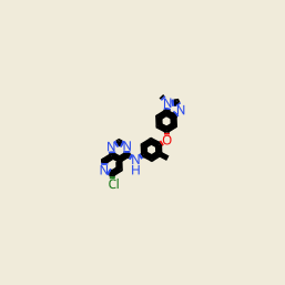 Cc1cc(Nc2ncnc3cnc(Cl)cc23)ccc1Oc1ccc2c(c1)ncn2C